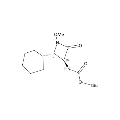 CON1C(=O)[C@@H](NC(=O)OC(C)(C)C)[C@@H]1C1CCCCC1